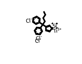 CCCCC(C1=C[C]([Ti+3])([Si](C)(C)C)C=C1)(c1ccccc1)c1ccccc1.[Cl-].[Cl-].[Cl-]